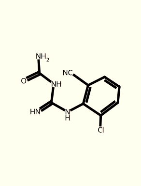 N#Cc1cccc(Cl)c1NC(=N)NC(N)=O